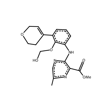 COC(=O)c1nc(C)cnc1Nc1cccc(C2=CCOCC2)c1OCO